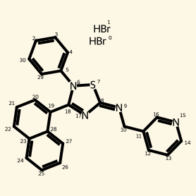 Br.Br.c1ccc(-n2sc(=NCc3cccnc3)nc2-c2cccc3ccccc23)cc1